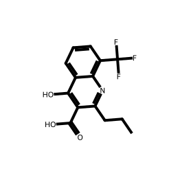 CCCc1nc2c(C(F)(F)F)cccc2c(O)c1C(=O)O